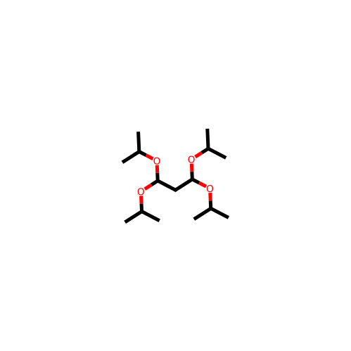 CC(C)OC(CC(OC(C)C)OC(C)C)OC(C)C